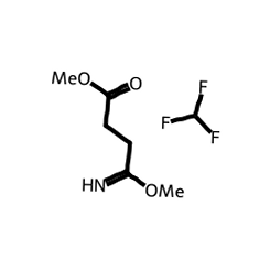 COC(=N)CCC(=O)OC.FC(F)F